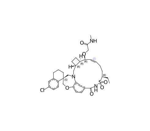 CC[C@@H]1CC/C=C\[C@H](OCC(=O)NC)[C@@H]2CC[C@H]2CN2C[C@@]3(CCCc4cc(Cl)ccc43)COc3ccc(cc32)C(=O)NS1(=O)=O